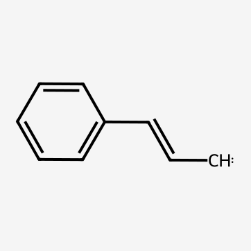 [CH]C=Cc1ccccc1